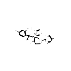 C[C@@H](OC1CCN(c2ncc(F)cn2)CC1)[C@](O)(Cn1cncn1)c1ccc(F)cc1F